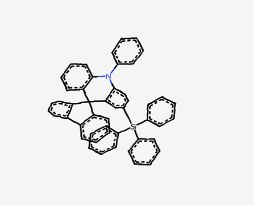 c1ccc(N2c3ccccc3C3(c4ccccc4-c4ccccc43)c3cc([Si](c4ccccc4)(c4ccccc4)c4ccccc4)ccc32)cc1